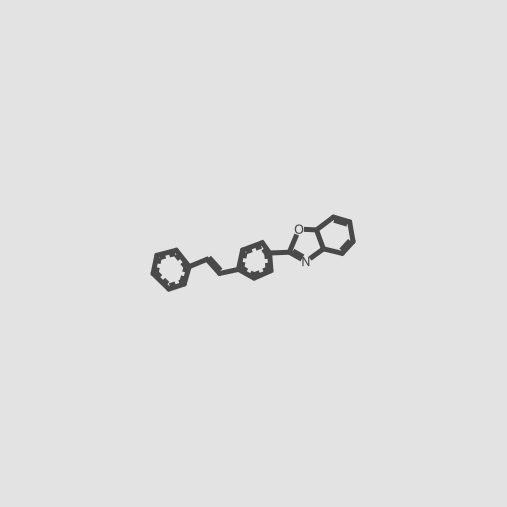 C1=CC2N=C(c3ccc(/C=C/c4ccccc4)cc3)OC2C=C1